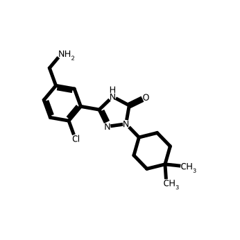 CC1(C)CCC(n2nc(-c3cc(CN)ccc3Cl)[nH]c2=O)CC1